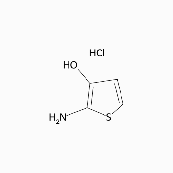 Cl.Nc1sccc1O